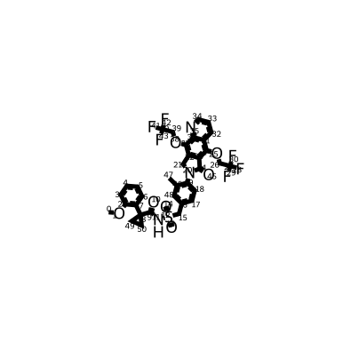 COc1ccccc1C1(C(=O)NS(=O)(=O)Cc2ccc(N3Cc4c(c(OCC(F)(F)F)c5cccnc5c4OCC(F)(F)F)C3=O)c(C)c2)CC1